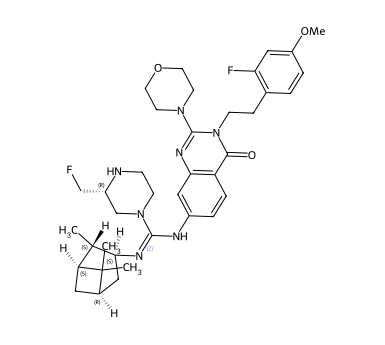 COc1ccc(CCn2c(N3CCOCC3)nc3cc(N/C(=N/[C@H]4C[C@H]5C[C@@H]([C@@H]4C)C5(C)C)N4CCN[C@@H](CF)C4)ccc3c2=O)c(F)c1